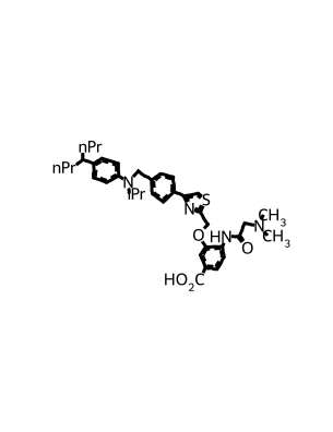 CCCC(CCC)c1ccc(N(Cc2ccc(-c3csc(COc4cc(C(=O)O)ccc4NC(=O)CN(C)C)n3)cc2)C(C)C)cc1